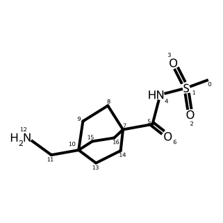 CS(=O)(=O)NC(=O)C12CCC(CN)(CC1)CC2